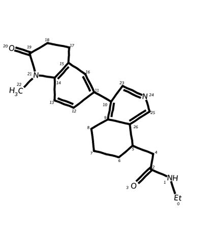 CCNC(=O)CC1CCCc2c(-c3ccc4c(c3)CCC(=O)N4C)cncc21